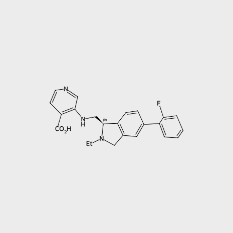 CCN1Cc2cc(-c3ccccc3F)ccc2[C@@H]1CNc1cnccc1C(=O)O